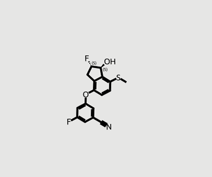 CSc1ccc(Oc2cc(F)cc(C#N)c2)c2c1[C@H](O)[C@@H](F)C2